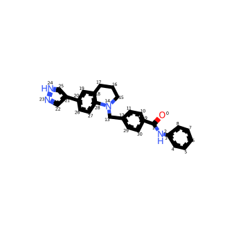 O=C(Nc1ccccc1)c1ccc(CN2CCCc3cc(-c4cn[nH]c4)ccc32)cc1